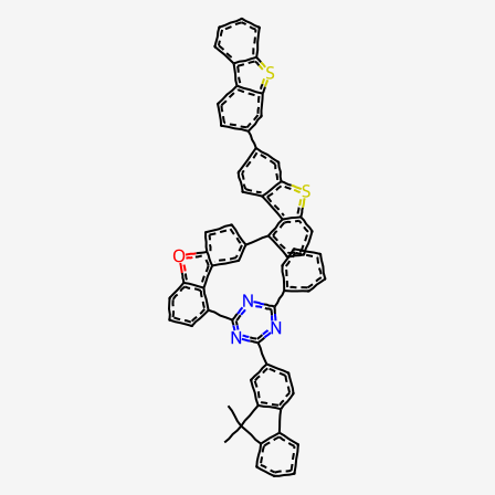 CC1(C)c2ccccc2-c2ccc(-c3nc(-c4ccccc4)nc(-c4cccc5oc6ccc(-c7cccc8sc9cc(-c%10ccc%11c(c%10)sc%10ccccc%10%11)ccc9c78)cc6c45)n3)cc21